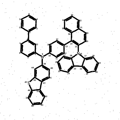 c1ccc(-c2cccc(N(c3ccc(-c4c(-n5c6ccccc6c6ccccc65)ccc5ccccc45)cc3)c3ccc4c(c3)sc3ccccc34)c2)cc1